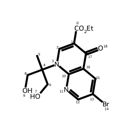 CCOC(=O)c1cn(C(C)(CO)CO)c2ncc(Br)cc2c1=O